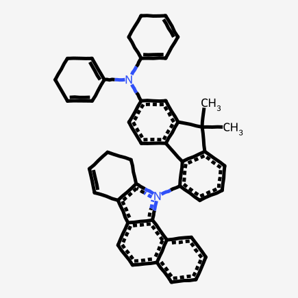 CC1(C)c2cc(N(C3=CCCC=C3)C3=CC=CCC3)ccc2-c2c(-n3c4c(c5ccc6ccccc6c53)C=CCC4)cccc21